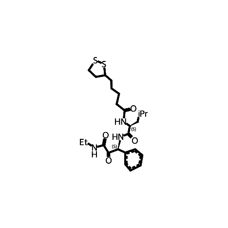 CCNC(=O)C(=O)[C@@H](NC(=O)[C@H](CC(C)C)NC(=O)CCCCC1CCSS1)c1ccccc1